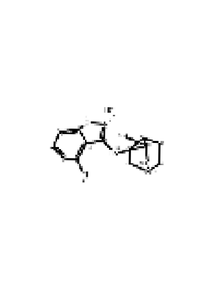 Cl.Clc1cccc2onc(N[C@H]3CN4CCC3CC4)c12